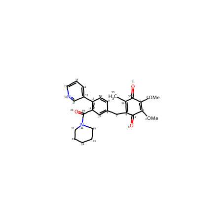 COC1=C(OC)C(=O)C(Cc2ccc(-c3cccnc3)c(C(=O)N3CCCCC3)c2)=C(C)C1=O